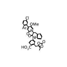 COc1cn(C(Cc2ccccc2)C(=O)Nc2ccc(C(=O)O)c(Cc3oc(=O)oc3C)c2)c(=O)cc1-c1cc(Cl)ccc1C(C)=O